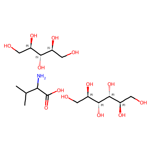 CC(C)C(N)C(=O)O.OC[C@@H](O)[C@@H](O)[C@@H](O)CO.OC[C@@H](O)[C@@H](O)[C@H](O)[C@H](O)CO